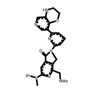 CNCc1nc(N(C)C(C)C)cc2c1CN(c1cccc(-c3cncc4c3OCCN4)n1)C2=O